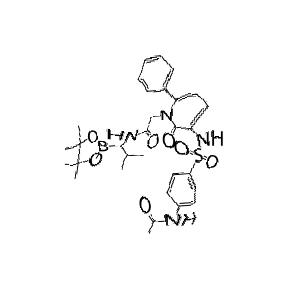 CC(=O)Nc1ccc(S(=O)(=O)Nc2ccc(-c3ccccc3)n(CC(=O)NC(B3OC(C)(C)C(C)(C)O3)C(C)C)c2=O)cc1